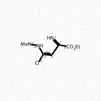 CCOC(=O)C(=N)/C=C(/Cl)NNC